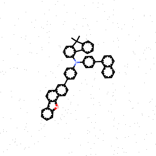 CC1(C)c2ccccc2-c2c(N(c3ccc(-c4ccc5c(ccc6c7ccccc7oc56)c4)cc3)c3ccc(-c4cccc5ccccc45)cc3)cccc21